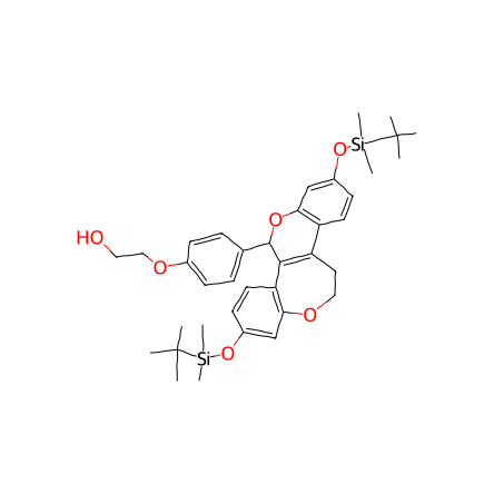 CC(C)(C)[Si](C)(C)Oc1ccc2c(c1)OC(c1ccc(OCCO)cc1)C1=C2CCOc2cc(O[Si](C)(C)C(C)(C)C)ccc21